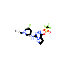 CCN1C[C@H](F)C[C@@H](Nc2nnc(OS(=O)(=O)C(F)(F)F)c3ccnn23)C1